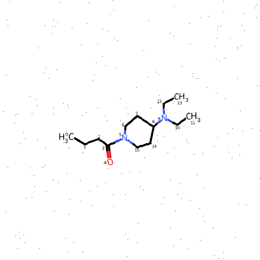 CCCC(=O)N1CCC(N(CC)CC)CC1